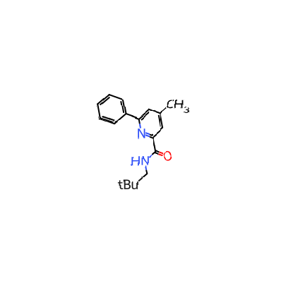 Cc1cc(C(=O)NCC(C)(C)C)nc(-c2ccccc2)c1